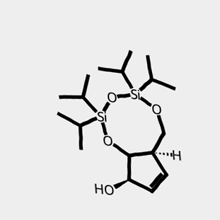 CC(C)[Si]1(C(C)C)OC[C@H]2C=C[C@@H](O)C2O[Si](C(C)C)(C(C)C)O1